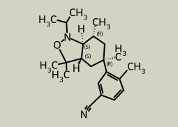 Cc1ccc(C#N)cc1[C@]1(C)C[C@@H](C)[C@H]2[C@H](C1)C(C)(C)ON2C(C)C